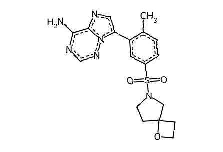 Cc1ccc(S(=O)(=O)N2CCC3(CCO3)C2)cc1-c1cnc2c(N)ncnn12